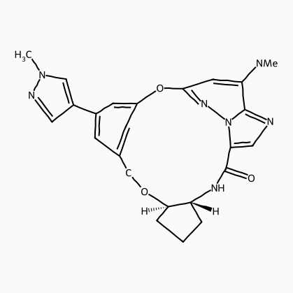 CNc1cc2nn3c(cnc13)C(=O)N[C@@H]1CCC[C@H]1OCc1cc(cc(-c3cnn(C)c3)c1)O2